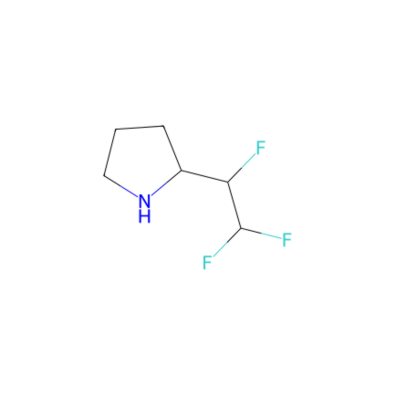 FC(F)C(F)C1CCCN1